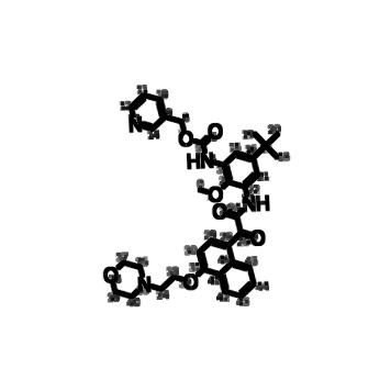 COc1c(NC(=O)OCc2cccnc2)cc(C(C)(C)C)cc1NC(=O)C(=O)c1ccc(OCCN2CCOCC2)c2ccccc12